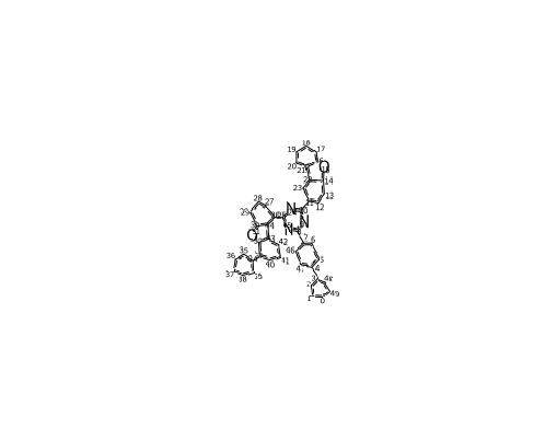 c1ccc(-c2ccc(-c3nc(-c4ccc5oc6ccccc6c5c4)nc(-c4cccc5oc6c(-c7ccccc7)cccc6c45)n3)cc2)cc1